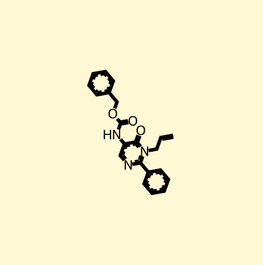 C=CCn1c(-c2ccccc2)ncc(NC(=O)OCc2ccccc2)c1=O